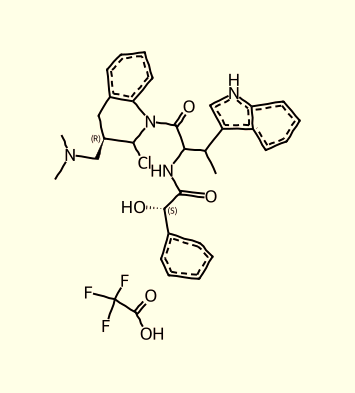 CC(c1c[nH]c2ccccc12)C(NC(=O)[C@@H](O)c1ccccc1)C(=O)N1c2ccccc2C[C@H](CN(C)C)C1Cl.O=C(O)C(F)(F)F